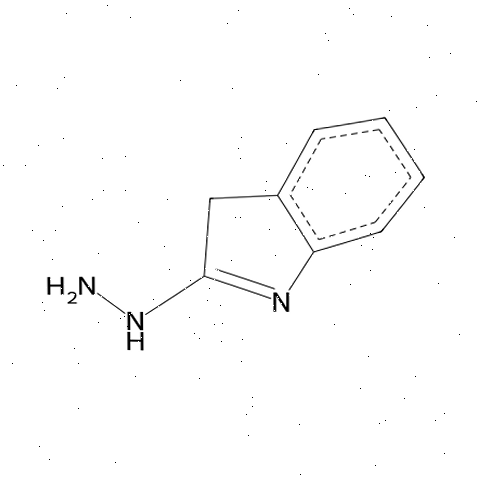 NNC1=Nc2ccccc2C1